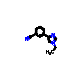 CCn1cnc(-c2cccc(C#N)c2)c1